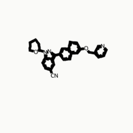 N#Cc1ccc2c(c1)c(-c1ccc3cc(OCc4cccnc4)ccc3c1)nn2C1CCCCO1